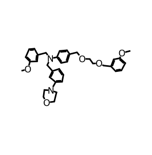 COc1cccc(COCCOCc2ccc(N(Cc3cccc(OC)c3)Cc3cccc(N4CCOCC4)c3)cc2)c1